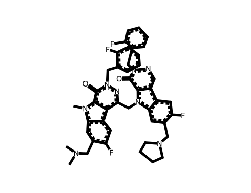 CN(C)Cc1cc2c(cc1F)c1c(Cn3c4cc(CN5CCCC5)c(F)cc4c4cnn(Cc5ccccc5F)c(=O)c43)nn(Cc3ccccc3F)c(=O)c1n2C